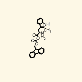 Cc1[nH]c2ccccc2c1C[C@@H](N)C(=O)OC(=O)OCC1c2ccccc2-c2ccccc21